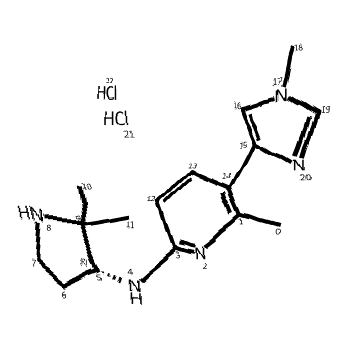 Cc1nc(N[C@@H]2CCNC2(C)C)ccc1-c1cn(C)cn1.Cl.Cl